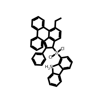 CCc1ccc2c(c1-c1ccccc1-c1ccccc1)C=C(c1ccccc1)[CH]2[Zr]([Cl])([Cl])[c]1cccc2c1[SiH2]c1ccccc1-2